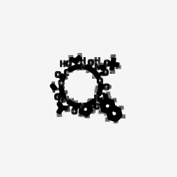 CC[C@@H]1OC(=O)C[C@H](O)[C@@H](C(C)C)NC(=O)[C@@H](NC(=O)OC(C)(C)C)[C@@H](C)OC(=O)[C@H](Cc2ccc3ccccc3c2)N(C)C(=O)[C@@H]2CCCN2C(=O)[C@H](CC(C)C)NC1=O